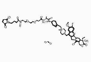 CC[C@@]1(O)C(=O)OCc2c1cc1n(c2=O)Cc2c-1nc1cc(F)c(OC)cc1c2CN1CC[N+](C)(Cc2ccc(NC(=O)C(C)NC(=O)CCOCCOCCNC(=O)CCCN3C(=O)C=CC3=O)cc2)CC1.O=C[O-]